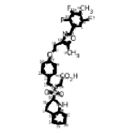 Cc1oc(-c2cc(F)c(C)c(F)c2F)nc1CCOc1ccc(CN(CC(=O)O)S(=O)(=O)C2CCc3ccccc3N2)cc1